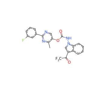 Cc1nc(-c2cccc(F)c2)ncc1OC(=O)Nn1cc(C(=O)C(F)(F)F)c2ccccc21